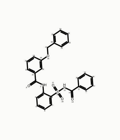 O=C(Nc1ccccc1S(=O)(=O)NC(=O)c1ccccc1)c1cccc(OCc2ccccc2)c1